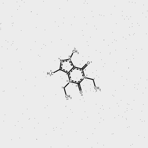 CCn1c(=O)c2c(c(C)nn2C)n(CC)c1=O